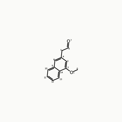 COc1cc(CC=O)cc2ccccc12